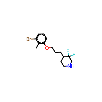 Cc1c(Br)cccc1OCCCC1CCNCC1(F)F